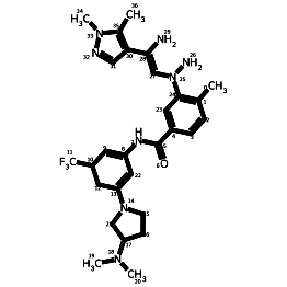 Cc1ccc(C(=O)NC2=CC(C(F)(F)F)CC(N3CCC(N(C)C)C3)=C2)cc1N(N)/C=C(\N)c1cnn(C)c1C